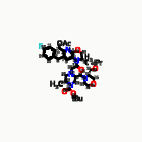 CC(=O)OCc1nc2c(cc1Cc1ccc(F)cc1)N(C(=O)CN1C[C@@H](C)N(C(=O)OC(C)(C)C)C[C@@H]1CN1CCOC[C@H]1COC(C)C)[C@@H](C)CO2